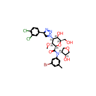 CO[C@@H]1[C@@H](n2cc(-c3ccc(Cl)c(Cl)c3)nn2)[C@@H](O)[C@@H](CO)O[C@H]1C(=O)N(c1cc(C)cc(Br)c1)[C@@H]1COC[C@H]1O